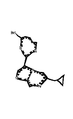 CSc1ccnc(-c2cnc3cnc(C4CC4)cn23)n1